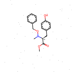 COC(=O)[C@H](Cc1ccc(O)cc1)N(C)OCc1ccccc1